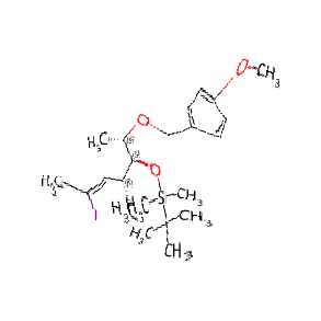 COc1ccc(CO[C@@H](C)[C@@H](O[Si](C)(C)C(C)(C)C)[C@H](C)C=C(C)I)cc1